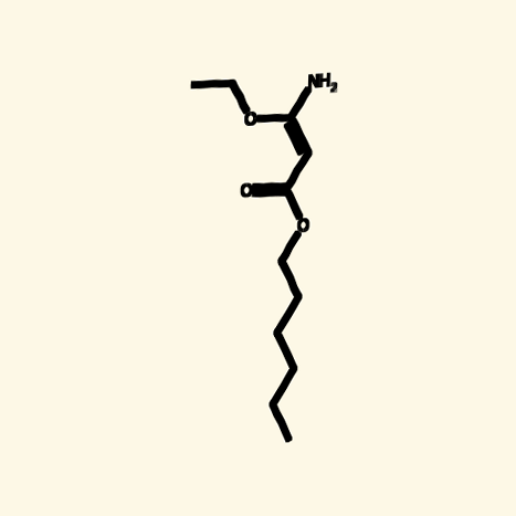 CCCCCCOC(=O)C=C(N)OCC